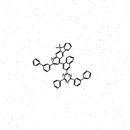 CC1(C)c2ccccc2-c2cc3c(-c4cc(-c5nc(-c6ccccc6)nc(-c6cccc(-c7ccccc7)c6)n5)cc5ccccc45)cc(-c4cccc(-c5ccccc5)c4)nc3cc21